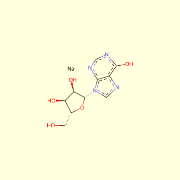 OC[C@H]1O[C@@H](n2cnc3c(O)ncnc32)[C@H](O)[C@@H]1O.[Na]